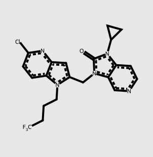 O=c1n(Cc2cc3nc(Cl)ccc3n2CCCC(F)(F)F)c2cnccc2n1C1CC1